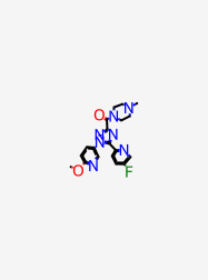 COc1ccc(-n2nc(C(=O)N3CCN(C)CC3)nc2-c2ccc(F)cn2)cn1